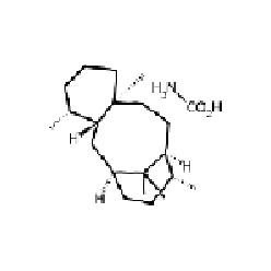 C[C@@H]1CCC[C@@]2(C)CC[C@H]3[C@H](C)CC[C@@H](C[C@H]12)C3(C)C.NC(=O)O